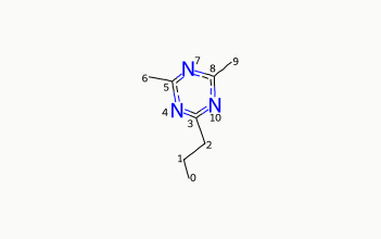 CCCc1nc(C)nc(C)n1